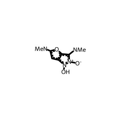 CNc1cc2c(o1)c(NC)[n+]([O-])n2O